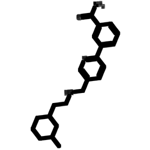 CC1CCCC(CCNCc2ccc(-c3cccc(C(N)=O)c3)nc2)C1